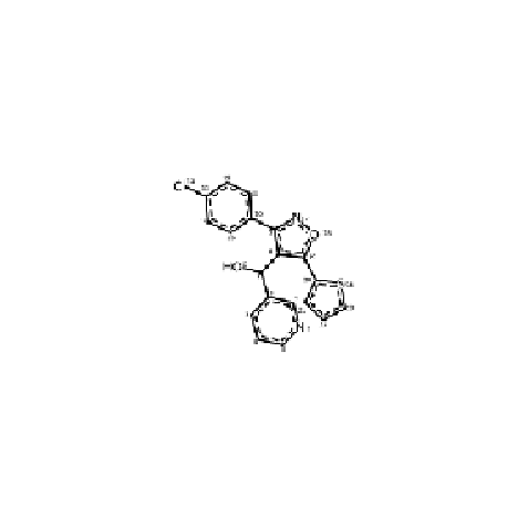 OC(c1cccnc1)c1c(-c2ccc(Cl)cc2)noc1-c1cccs1